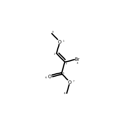 COC=C(Br)C(=O)OC